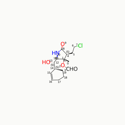 C[C@]1(OC=O)[C@H](CCCl)C(=O)N[C@@H]1[C@@H](O)[C@@H]1C=CCCC1